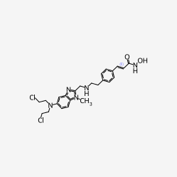 Cn1c(CNCCc2ccc(/C=C/C(=O)NO)cc2)nc2cc(N(CCCl)CCCl)ccc21